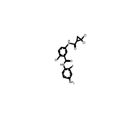 Nc1ccc(NC(=O)c2cc(NC(=O)C3CC3(Cl)Cl)ccc2Cl)c(F)c1